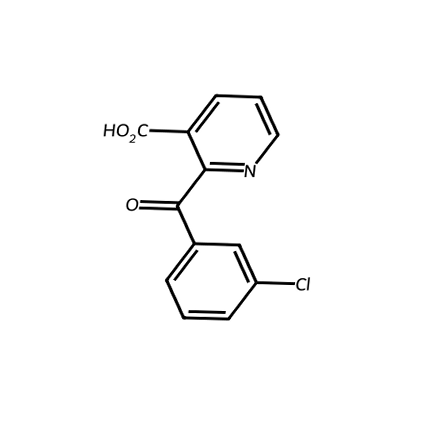 O=C(O)c1cccnc1C(=O)c1cccc(Cl)c1